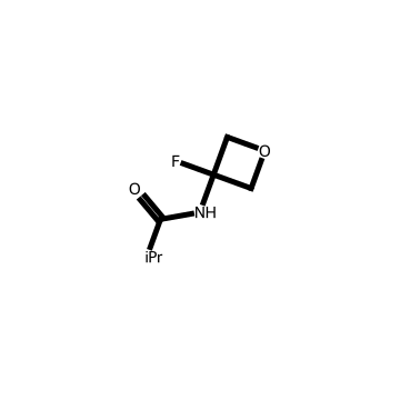 CC(C)C(=O)NC1(F)COC1